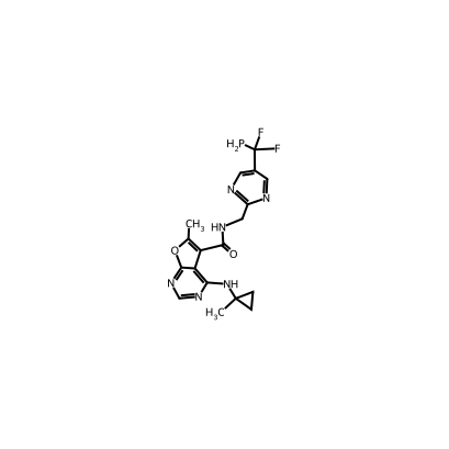 Cc1oc2ncnc(NC3(C)CC3)c2c1C(=O)NCc1ncc(C(F)(F)P)cn1